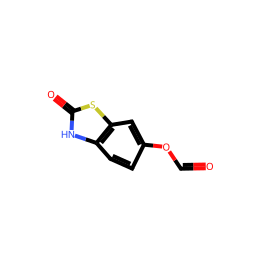 O=COc1ccc2[nH]c(=O)sc2c1